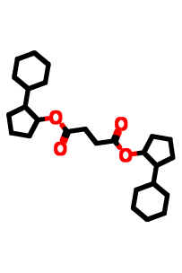 O=C(CCC(=O)OC1CCCC1C1CCCCC1)OC1CCCC1C1CCCCC1